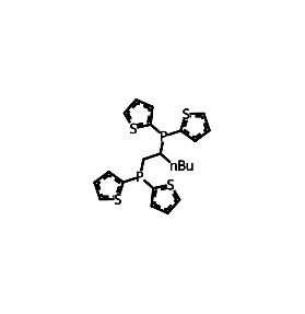 CCCCC(CP(c1cccs1)c1cccs1)P(c1cccs1)c1cccs1